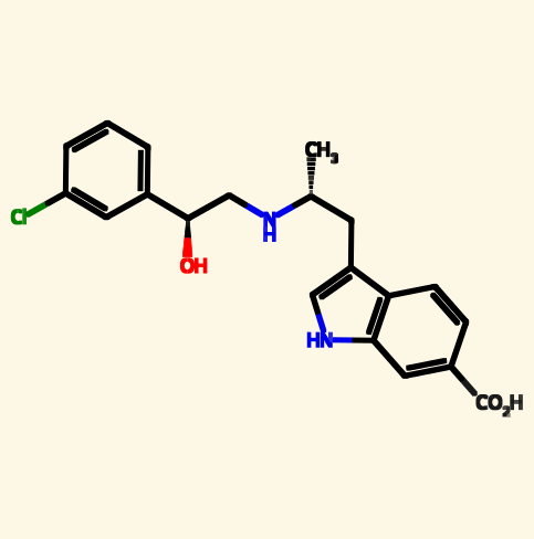 C[C@H](Cc1c[nH]c2cc(C(=O)O)ccc12)NC[C@@H](O)c1cccc(Cl)c1